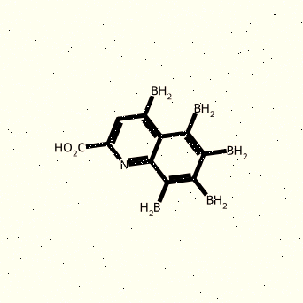 Bc1c(B)c(B)c2c(B)cc(C(=O)O)nc2c1B